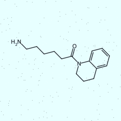 NCCCCCC(=O)N1CCCc2ccccc21